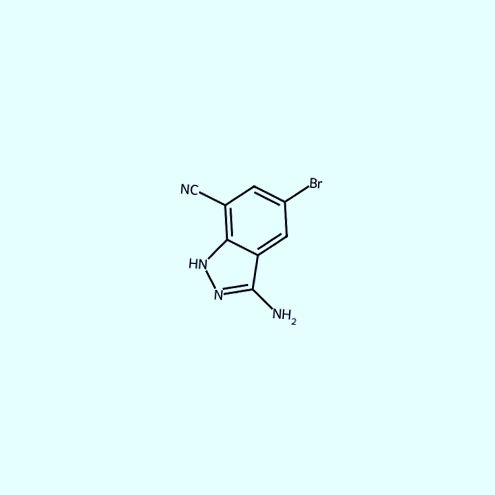 N#Cc1cc(Br)cc2c(N)n[nH]c12